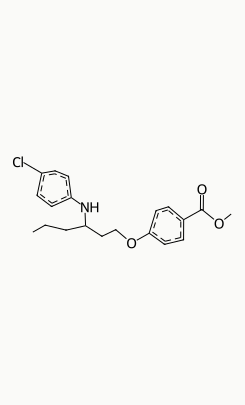 CCCC(CCOc1ccc(C(=O)OC)cc1)Nc1ccc(Cl)cc1